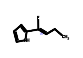 CC/C=C(\F)c1ccc[nH]1